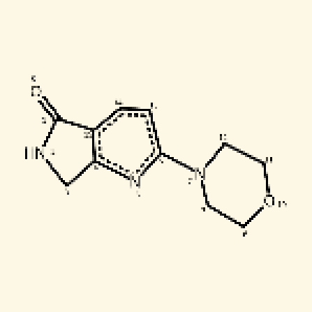 O=C1NCc2nc(N3CCOCC3)ccc21